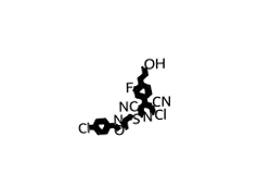 N#Cc1c(Cl)nc(SCc2coc(-c3ccc(Cl)cc3)n2)c(C#N)c1-c1ccc(CCCO)c(F)c1